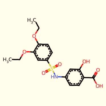 CCOc1ccc(S(=O)(=O)Nc2ccc(C(=O)O)c(O)c2)cc1OCC